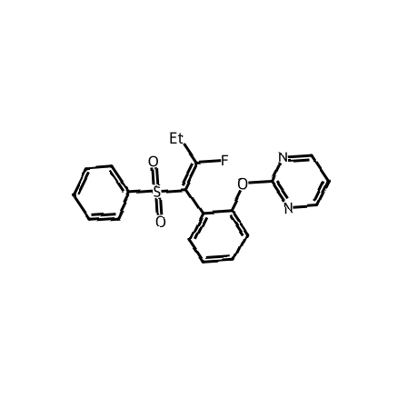 CCC(F)=C(c1ccccc1Oc1ncccn1)S(=O)(=O)c1ccccc1